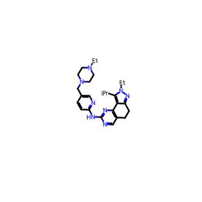 CCN1CCN(Cc2ccc(Nc3ncc4c(n3)-c3c(nn(CC)c3C(C)C)CC4)nc2)CC1